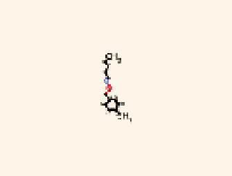 CCCCC=NOCc1ccc(C)cc1